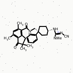 CN/C(=N\C#N)N[C@H]1CC[C@](CNC(=O)c2c(C)cc(C)c3c2CC(C)(C)C3=O)(c2ccccc2)CC1